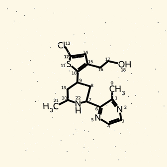 Cc1nccnc1C1CC(c2sc(Cl)cc2CCO)CC(C)N1